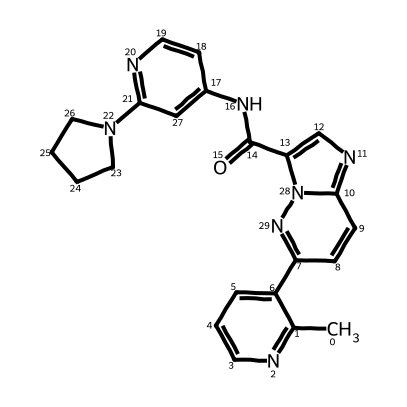 Cc1ncccc1-c1ccc2ncc(C(=O)Nc3ccnc(N4CCCC4)c3)n2n1